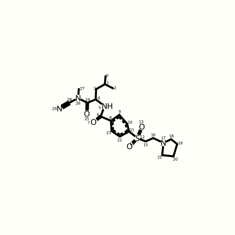 CC(C)CC(NC(=O)c1ccc(S(=O)(=O)CCN2CCCC2)cc1)C(=O)N(C)C#N